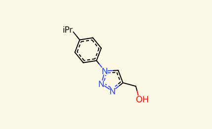 CC(C)c1ccc(-n2cc(CO)nn2)cc1